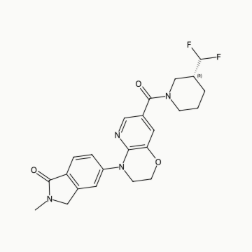 CN1Cc2cc(N3CCOc4cc(C(=O)N5CCC[C@@H](C(F)F)C5)cnc43)ccc2C1=O